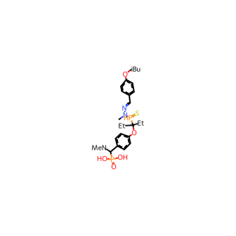 CCC(C)Oc1ccc(/C=N/N(C)[PH](=S)C(CC)(CC)Oc2ccc(C(NC)P(=O)(O)O)cc2)cc1